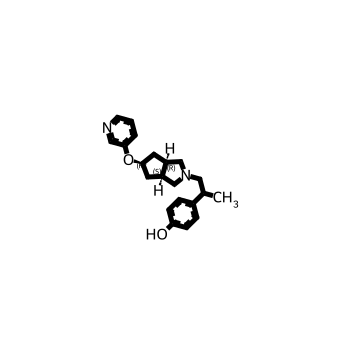 CC(CN1C[C@H]2C[C@@H](Oc3cccnc3)C[C@H]2C1)c1ccc(O)cc1